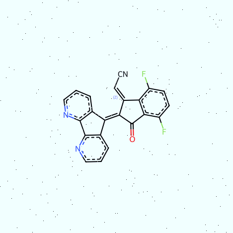 N#C/C=C1/C(=C2c3cccnc3-c3ncccc32)C(=O)c2c(F)ccc(F)c21